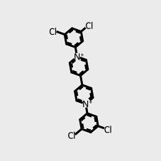 Clc1cc(Cl)cc(-[n+]2ccc(-c3cc[n+](-c4cc(Cl)cc(Cl)c4)cc3)cc2)c1